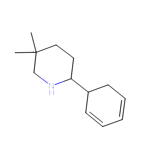 CC1(C)CCC(C2C=CC=CC2)NC1